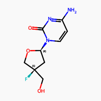 Nc1ccn([C@H]2C[C@](F)(CO)CO2)c(=O)n1